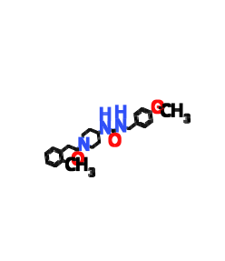 COc1ccc(CNC(=O)NC2CCN(C(=O)Cc3ccccc3C)CC2)cc1